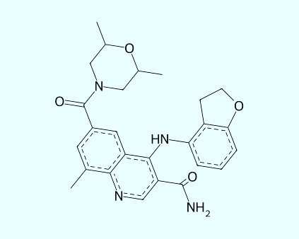 Cc1cc(C(=O)N2CC(C)OC(C)C2)cc2c(Nc3cccc4c3CCO4)c(C(N)=O)cnc12